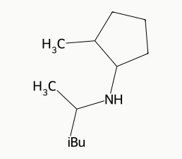 CCC(C)C(C)NC1CCCC1C